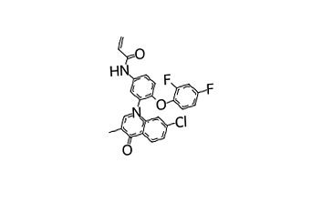 C=CC(=O)Nc1ccc(Oc2ccc(F)cc2F)c(-n2cc(C)c(=O)c3ccc(Cl)cc32)c1